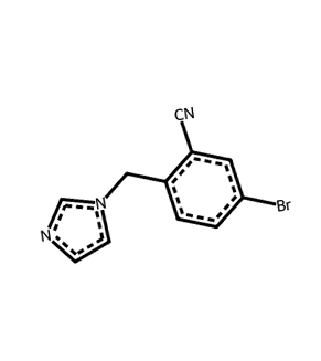 N#Cc1cc(Br)ccc1Cn1ccnc1